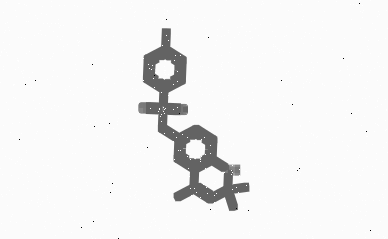 CC1=CC(C)(C)Nc2ccc(CS(=O)(=O)c3ccc(C)cc3)cc21